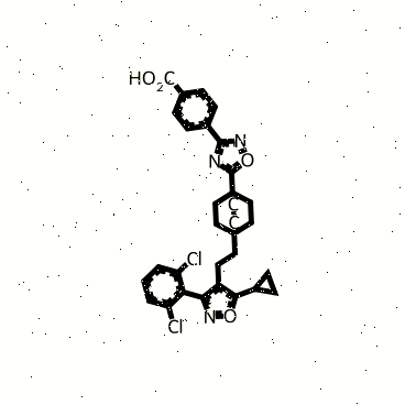 O=C(O)c1ccc(-c2noc(C34CCC(CCc5c(-c6c(Cl)cccc6Cl)noc5C5CC5)(CC3)CC4)n2)cc1